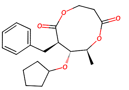 C[C@@H]1OC(=O)CCOC(=O)[C@H](Cc2ccccc2)[C@H]1OC1CCCC1